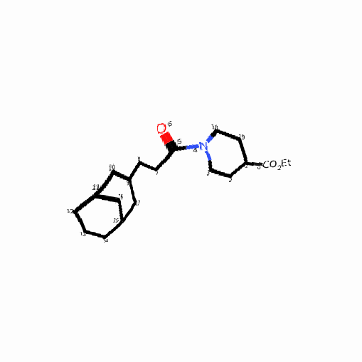 CCOC(=O)C1CCN(C(=O)CCC2CC3CCCC(C3)C2)CC1